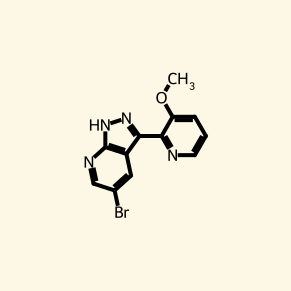 COc1cccnc1-c1n[nH]c2ncc(Br)cc12